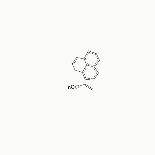 C1=Cc2cccc3cccc(c23)C1.C=CCCCCCCCC